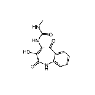 CNC(=O)Nc1c(O)c(=O)[nH]c2ccccc2c1=O